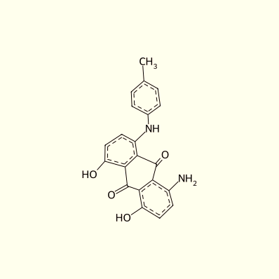 Cc1ccc(Nc2ccc(O)c3c2C(=O)c2c(N)ccc(O)c2C3=O)cc1